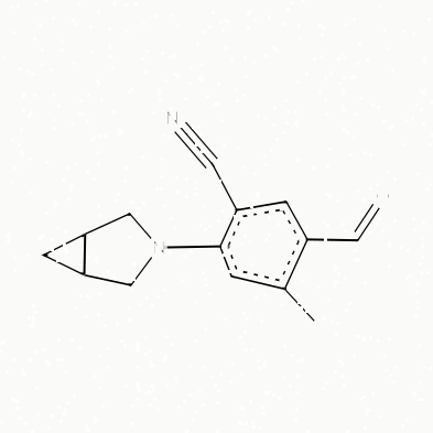 Cc1cc(N2CC3CC3C2)c(C#N)cc1C=O